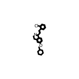 Clc1ccccc1/C=C/C1=NCCc2cc(OCC3CCCCC3)ccc21